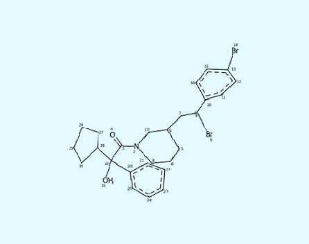 O=C(N1CC[CH]C(CC(Br)c2ccc(Br)cc2)C1)C(O)(c1ccccc1)C1CCCC1